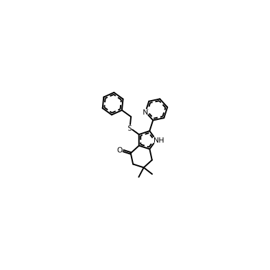 CC1(C)CC(=O)c2c([nH]c(-c3ccccn3)c2SCc2ccccc2)C1